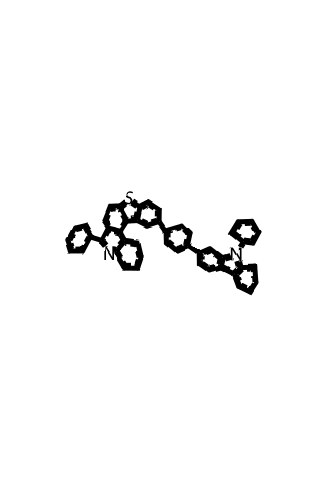 c1ccc(-c2nc3ccccc3c3c2ccc2sc4ccc(-c5ccc(-c6ccc7c8ccccc8n(-c8ccccc8)c7c6)cc5)cc4c23)cc1